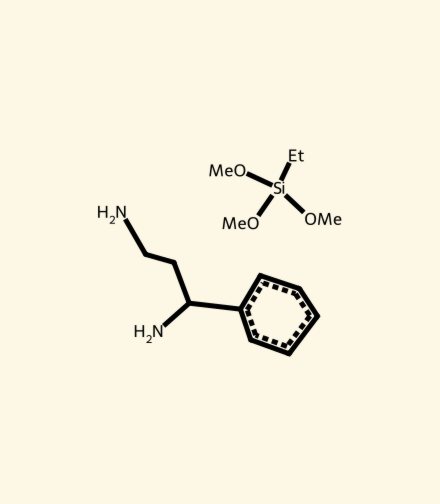 CC[Si](OC)(OC)OC.NCCC(N)c1ccccc1